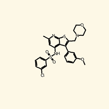 COc1cccc(-c2c(CN3CCOCC3)sc3nc(C)cc(NS(=O)(=O)c4cccc(Cl)c4)c23)c1